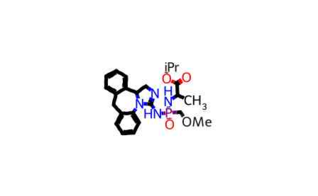 COCP(=O)(NC1=NCC2c3ccccc3Cc3ccccc3N12)NC(C)C(=O)OC(C)C